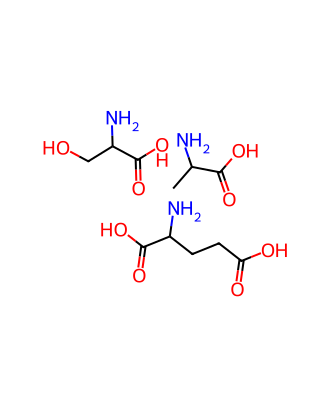 CC(N)C(=O)O.NC(CCC(=O)O)C(=O)O.NC(CO)C(=O)O